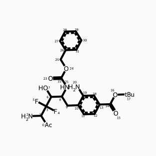 CC(=O)C(N)C(F)(F)C(O)C(Cc1ccc(C(=O)OC(C)(C)C)cc1N)NC(=O)OCc1ccccc1